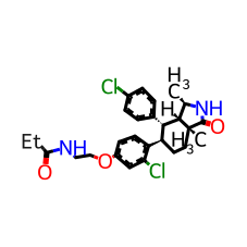 CCC(=O)NCCOc1ccc([C@@H]2CC[C@@]3(C)C(=O)N[C@H](C)[C@H]3[C@H]2c2ccc(Cl)cc2)c(Cl)c1